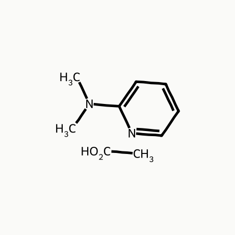 CC(=O)O.CN(C)c1ccccn1